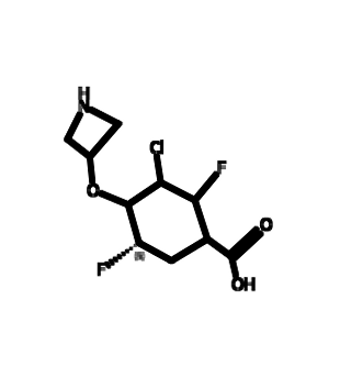 O=C(O)C1C[C@H](F)C(OC2CNC2)C(Cl)C1F